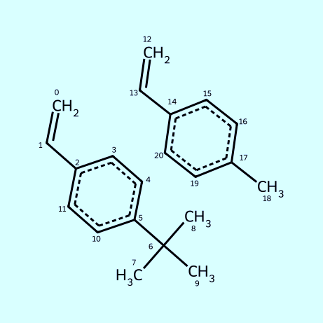 C=Cc1ccc(C(C)(C)C)cc1.C=Cc1ccc(C)cc1